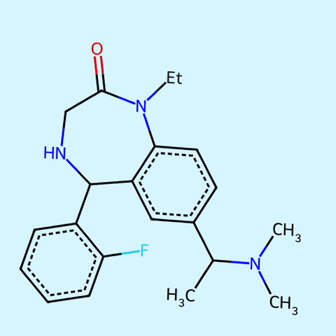 CCN1C(=O)CNC(c2ccccc2F)c2cc(C(C)N(C)C)ccc21